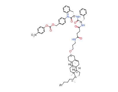 CC(C)CCC[C@@H](C)[C@H]1CC[C@H]2[C@@H]3CC=C4C[C@@H](OCCCNC(=O)CCC(=O)N[C@@H](Cc5ccccc5)C(=O)N[C@@H](Cc5ccccc5)C(=O)Nc5ccc(COC(=O)Oc6ccc([N+](=O)[O-])cc6)cc5)CC[C@]4(C)[C@H]3CC[C@]12C